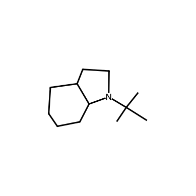 CC(C)(C)N1CCC2CCCCC21